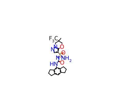 CC1(C(F)(F)F)COc2c(S(N)(=O)=NC(=O)Nc3c4c(cc5c3CCC5)CCC4)cnn2C1